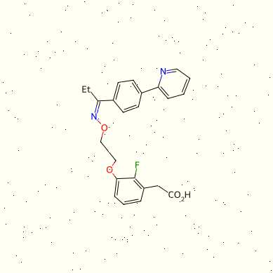 CCC(=NOCCOc1cccc(CC(=O)O)c1F)c1ccc(-c2ccccn2)cc1